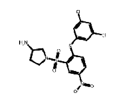 NC1CCN(S(=O)(=O)c2cc([N+](=O)[O-])ccc2Sc2cc(Cl)cc(Cl)c2)C1